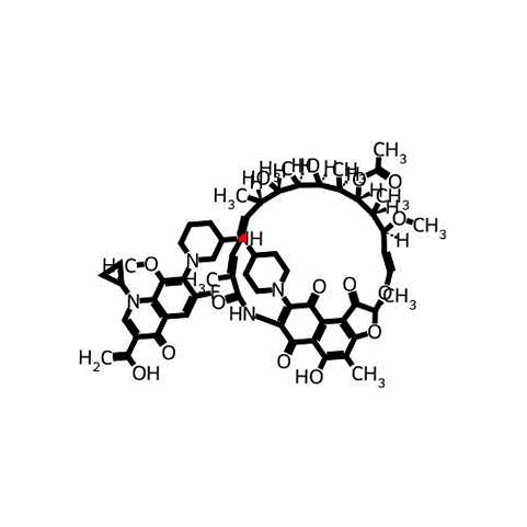 C=C(O)c1cn(C2CC2)c2c(OC)c(N3CCCC(NC4CCN(C5=C6NC(=O)/C(C)=C\C=C\[C@H](C)[C@H](O)[C@@H](C)[C@@H](O)[C@@H](C)[C@H](OC(C)=O)[C@H](C)[C@@H](OC)/C=C/O[C@@]7(C)Oc8c(C)c(O)c(c(c8C7=O)C5=O)C6=O)CC4)C3)c(F)cc2c1=O